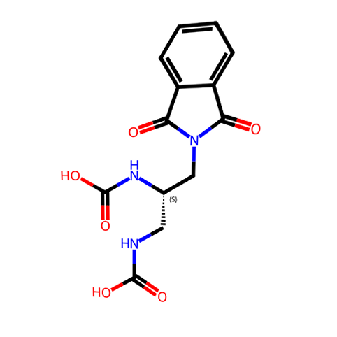 O=C(O)NC[C@@H](CN1C(=O)c2ccccc2C1=O)NC(=O)O